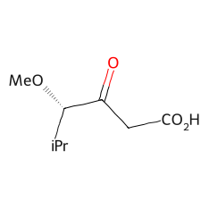 CO[C@H](C(=O)CC(=O)O)C(C)C